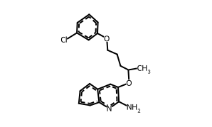 CC(CCCOc1cccc(Cl)c1)Oc1cc2ccccc2nc1N